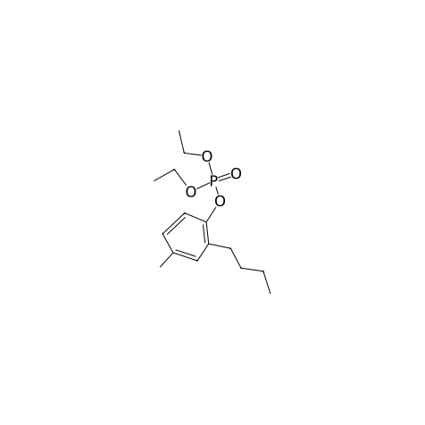 CCCCc1cc(C)ccc1OP(=O)(OCC)OCC